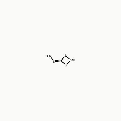 NN=C1S[AsH]S1